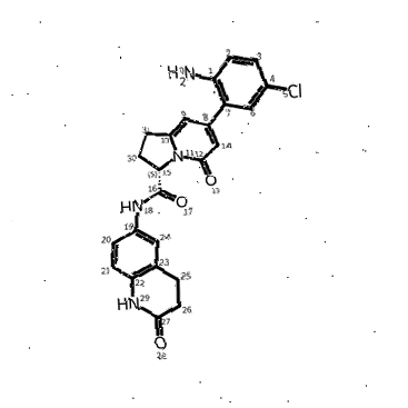 Nc1ccc(Cl)cc1-c1cc2n(c(=O)c1)[C@H](C(=O)Nc1ccc3c(c1)CCC(=O)N3)CC2